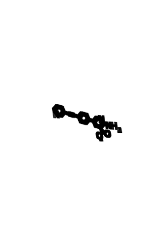 COC(=O)c1cc(-c2ccc(C#Cc3cccnc3)cc2)cnc1N